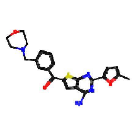 Cc1ccc(-c2nc(N)c3cc(C(=O)c4cccc(CN5CCOCC5)c4)sc3n2)o1